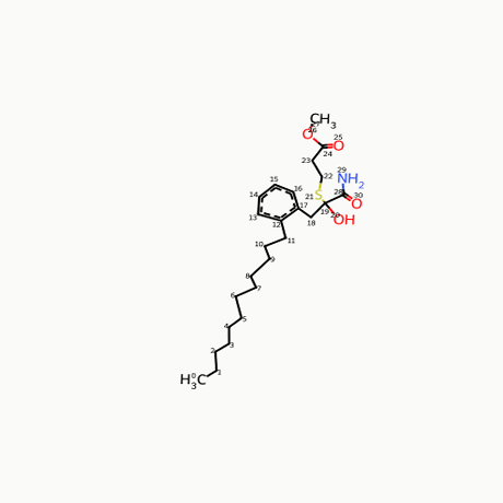 CCCCCCCCCCCCc1ccccc1CC(O)(SCCC(=O)OC)C(N)=O